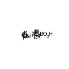 C[C@H]1C(=O)N2[C@@H](CCCN3CC(F)(F)C(F)(F)C3)CC[C@H]2CN1C(=O)O